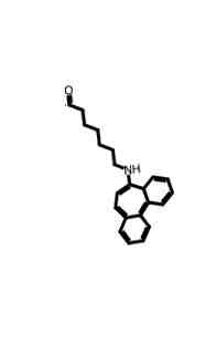 O=[C]CCCCCCNC1=CC=c2ccccc2=C2C=CC=CC12